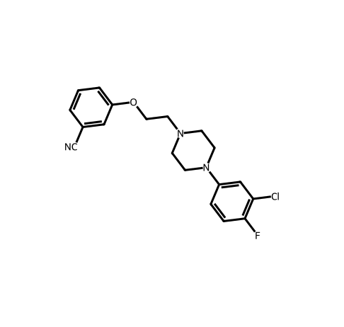 N#Cc1cccc(OCCN2CCN(c3ccc(F)c(Cl)c3)CC2)c1